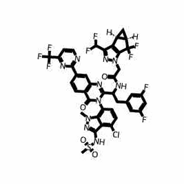 Cn1nc(NS(C)(=O)=O)c2c(Cl)ccc(-n3c(C(Cc4cc(F)cc(F)c4)NC(=O)Cn4nc(C(F)F)c5c4C(F)(F)[C@@H]4C[C@H]54)nc4cc(-c5nccc(C(F)(F)F)n5)ccc4c3=O)c21